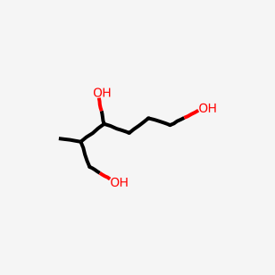 CC(CO)C(O)CCCO